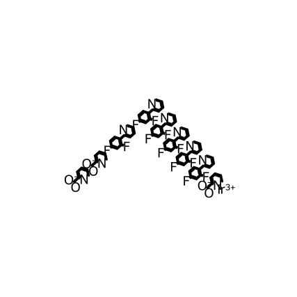 Fc1ccc(-c2ccccn2)c(F)c1.Fc1ccc(-c2ccccn2)c(F)c1.Fc1ccc(-c2ccccn2)c(F)c1.Fc1ccc(-c2ccccn2)c(F)c1.Fc1ccc(-c2ccccn2)c(F)c1.Fc1ccc(-c2ccccn2)c(F)c1.O=C([O-])c1ccccn1.O=C([O-])c1ccccn1.O=C([O-])c1ccccn1.[Ir+3]